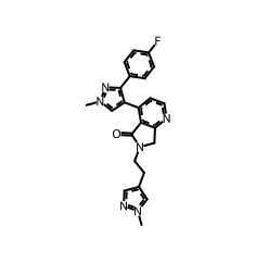 Cn1cc(CCN2Cc3nccc(-c4cn(C)nc4-c4ccc(F)cc4)c3C2=O)cn1